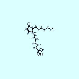 CCCCCCCC1C(=O)C=CC1OCCCCCC(=O)O